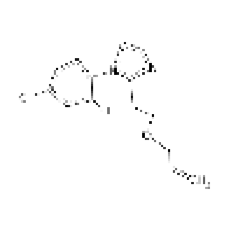 C=CCOCCc1nccn1-c1ccc(Cl)cc1Cl